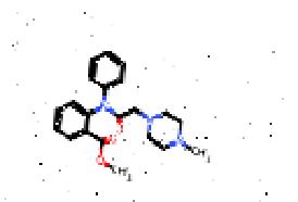 COC(=O)c1ccccc1N(C(=O)CN1CCN(C)CC1)c1ccccc1